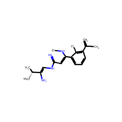 C=C(C)c1cccc(/C(=C/C(=N)N/C=C(\N)[C@@H](C)OC)NCC)c1CC